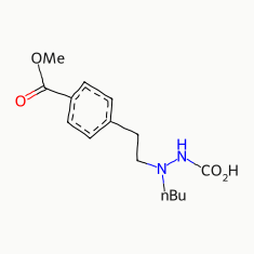 CCCCN(CCc1ccc(C(=O)OC)cc1)NC(=O)O